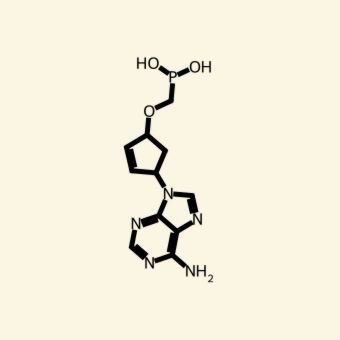 Nc1ncnc2c1ncn2C1C=CC(OCP(O)O)C1